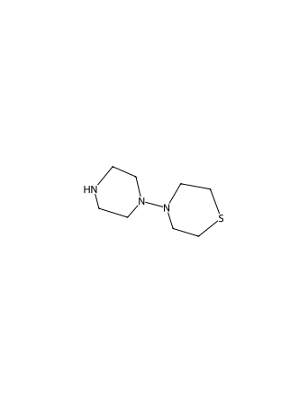 C1CN(N2CCSCC2)CCN1